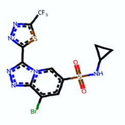 O=S(=O)(NC1CC1)c1cc(Br)c2nnc(-c3nnc(C(F)(F)F)s3)n2c1